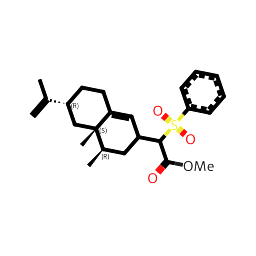 C=C(C)[C@@H]1CCC2=CC(C(C(=O)OC)S(=O)(=O)c3ccccc3)C[C@@H](C)[C@]2(C)C1